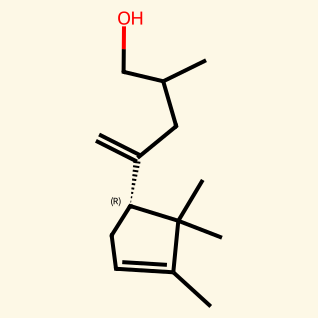 C=C(CC(C)CO)[C@H]1CC=C(C)C1(C)C